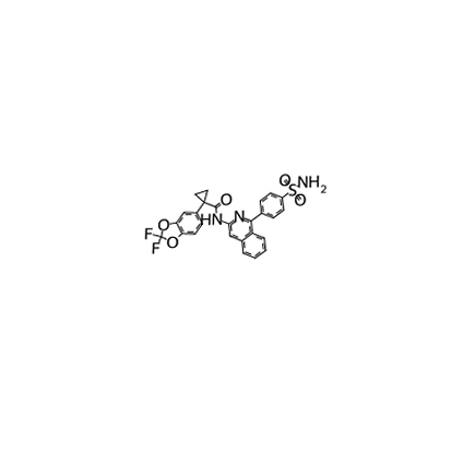 NS(=O)(=O)c1ccc(-c2nc(NC(=O)C3(c4ccc5c(c4)OC(F)(F)O5)CC3)cc3ccccc23)cc1